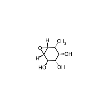 C[C@@H]1[C@@H](O)[C@H](O)[C@@H](O)[C@@H]2O[C@H]12